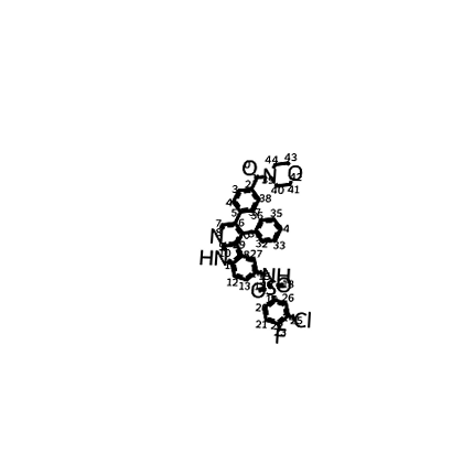 O=C(c1ccc(-c2cnc3[nH]c4ccc(NS(=O)(=O)c5ccc(F)c(Cl)c5)cc4c3c2-c2ccccc2)cc1)N1CCOCC1